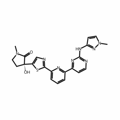 CN1CC[C@](O)(c2cnc(-c3cccc(-c4ccnc(Nc5ccn(C)n5)n4)n3)s2)C1=O